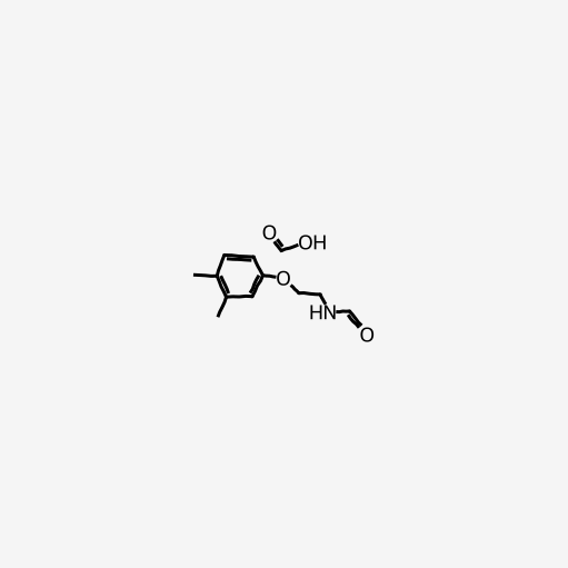 Cc1ccc(OCCNC=O)cc1C.O=CO